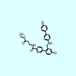 CCOC(=O)CCNC(=O)c1ccc(-c2ccc(Cl)cc2CNc2ccc(-c3ccc(Cl)cc3)cc2)cn1